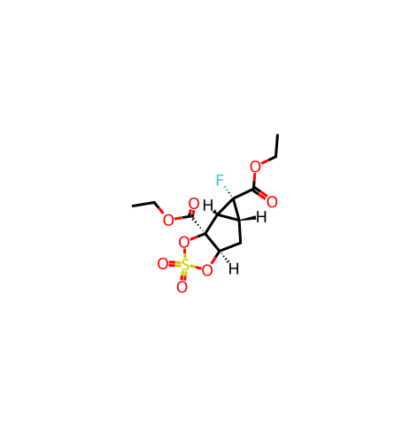 CCOC(=O)[C@@]1(F)[C@@H]2C[C@H]3OS(=O)(=O)O[C@@]3(C(=O)OCC)[C@@H]21